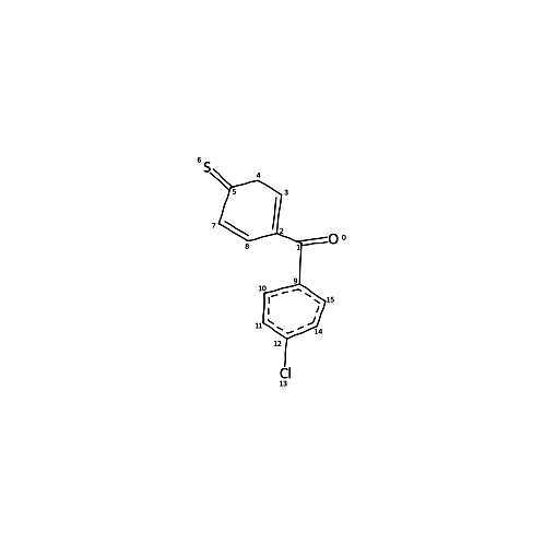 O=C(C1=CCC(=S)C=C1)c1ccc(Cl)cc1